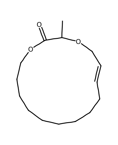 CC1OC/C=C/CCCCCCCCCOC1=O